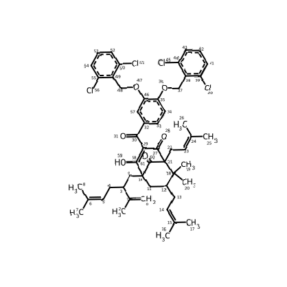 C=C(C)C(CC=C(C)C)CC12CC(CC=C(C)C)C(C)(C)C(CC=C(C)C)(C(=O)C(C(=O)c3ccc(OCc4c(Cl)cccc4Cl)c(OCc4c(Cl)cccc4Cl)c3)=C1O)C2=O